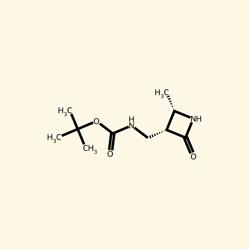 C[C@@H]1NC(=O)[C@@H]1CNC(=O)OC(C)(C)C